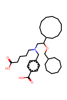 O=C(O)CCCCN(Cc1ccc(C(=O)O)cc1)CC(OCC1CCCCCCC1)C1CCCCCCCCCC1